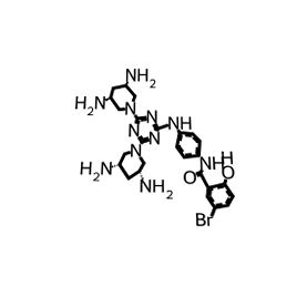 N[C@@H]1C[C@H](N)CN(c2nc(Nc3ccc(NC(=O)c4cc(Br)ccc4O)cc3)nc(N3C[C@H](N)C[C@H](N)C3)n2)C1